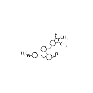 COc1ccc(CCN2CCN(C=O)CC2c2ccccc2Cc2ccc3[nH]c(C)c(C)c3c2)cc1